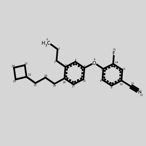 CCCc1cc(Oc2ccc(C#N)cc2F)ccc1CCCC1CCC1